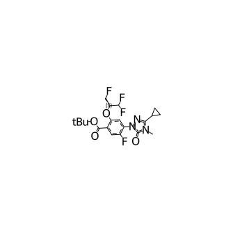 Cn1c(C2CC2)nn(-c2cc(O[C@@H](CF)C(F)F)c(C(=O)OC(C)(C)C)cc2F)c1=O